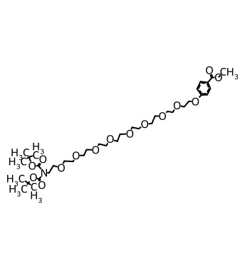 COC(=O)c1ccc(OCCOCCOCCOCCOCCOCCOCCOCCOCCN(C(=O)OC(C)(C)C)C(=O)OC(C)(C)C)cc1